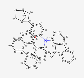 CC1(C)c2ccccc2-c2cccc(N(c3ccc(C4CC5CCC4C5)cc3)c3ccccc3-c3cccc4cccc(-c5ccccc5)c34)c21